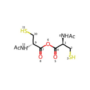 CC(=O)N[C@@H](CS)C(=O)OC(=O)[C@@H](CS)NC(C)=O